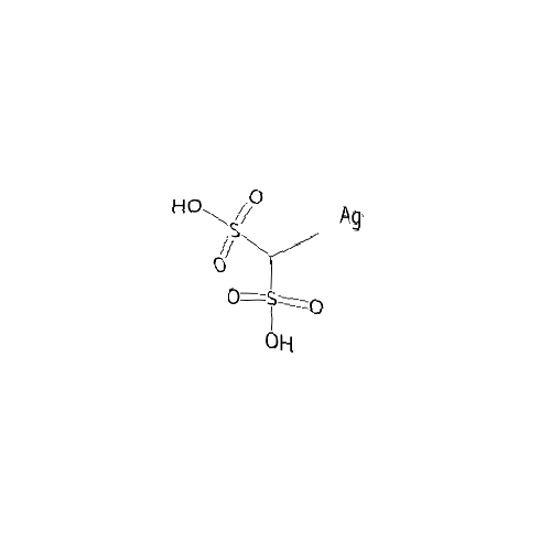 CC(S(=O)(=O)O)S(=O)(=O)O.[Ag]